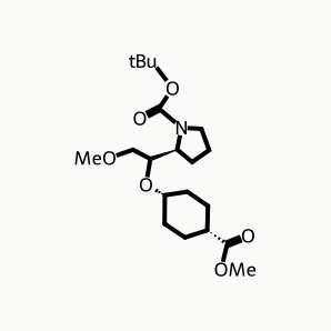 COCC(O[C@H]1CC[C@@H](C(=O)OC)CC1)[C@@H]1CCCN1C(=O)OC(C)(C)C